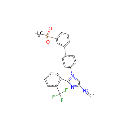 [C-]#[N+]c1cn(-c2ccc(-c3cccc(S(C)(=O)=O)c3)cc2)c(-c2ccccc2C(F)(F)F)n1